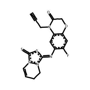 C#CCN1C(=O)COc2cc(F)c(N=c3sc(=S)n4n3CCC=C4)cc21